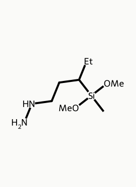 CCC(CCNN)[Si](C)(OC)OC